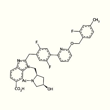 CC(=O)N1C[C@H](O)C[C@@H]1Cn1c(Cc2cc(F)c(-c3cccc(OCc4ccc(C)cc4F)n3)cc2F)nc2ccc(C(=O)O)cc21